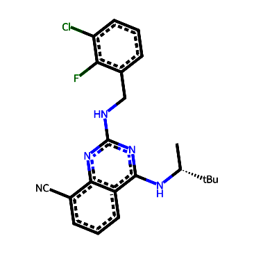 C[C@@H](Nc1nc(NCc2cccc(Cl)c2F)nc2c(C#N)cccc12)C(C)(C)C